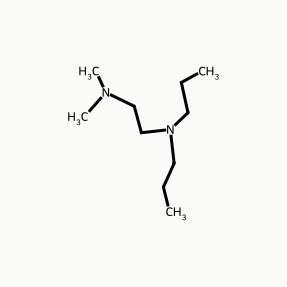 CCCN(CCC)CCN(C)C